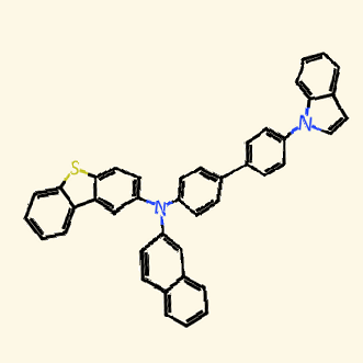 c1ccc2cc(N(c3ccc(-c4ccc(-n5ccc6ccccc65)cc4)cc3)c3ccc4sc5ccccc5c4c3)ccc2c1